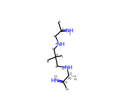 CC(=N)CNCC(C)(C)CN[C@H](C)C(C)=N